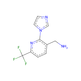 NCc1ccc(C(F)(F)F)nc1-n1ccnc1